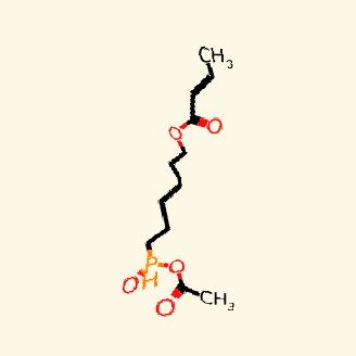 CC=CC(=O)OCCCCCC[PH](=O)OC(C)=O